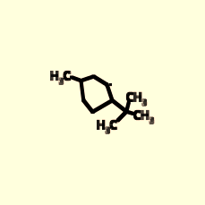 CC1C[CH]C(C(C)(C)C)CC1